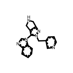 c1cncc(Cn2nc3c(c2-n2cnc4ccccc42)CNC3)c1